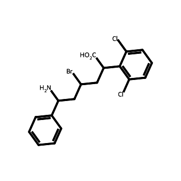 NC(CC(Br)CC(C(=O)O)c1c(Cl)cccc1Cl)c1ccccc1